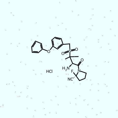 CC(C)([C@H](N)C(=O)N1CCC[C@]1(F)C#N)S(=O)(=O)Cc1cccc(Oc2ccccc2)c1.Cl